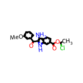 COc1cccc(C(=O)c2[nH]c3cc(C(=O)OC(C)Cl)ccc3c2N)c1